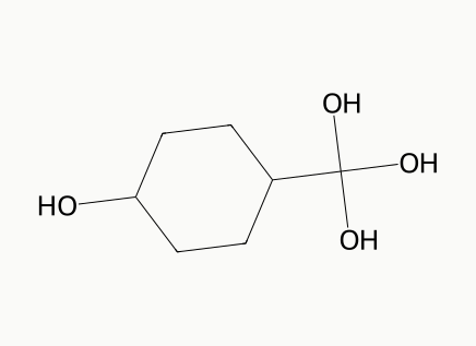 OC1CCC(C(O)(O)O)CC1